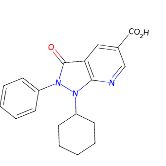 O=C(O)c1cnc2c(c1)c(=O)n(-c1ccccc1)n2C1CCCCC1